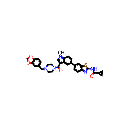 Cn1cc(C(=O)N2CCN(Cc3ccc4c(c3)OCO4)CC2)c2cc(-c3ccc4nc(NC(=O)C5CC5)sc4c3)ccc21